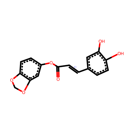 O=C(/C=C/c1ccc(O)c(O)c1)Oc1ccc2c(c1)OCO2